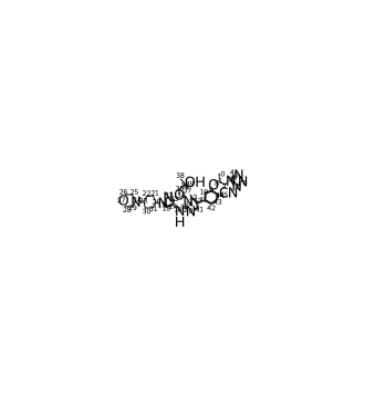 C[C@@H](Cn1cnnn1)Oc1cc(-c2cnc(Nc3cn(C4CCC(N5CCOCC5)CC4)nc3OCC(C)(C)O)nc2)ccc1C#N